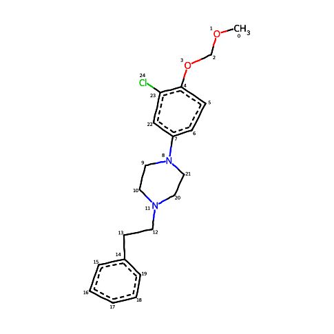 COCOc1ccc(N2CCN(CCc3ccccc3)CC2)cc1Cl